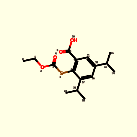 CCOC(=O)Sc1c(C(=O)O)cc(C(C)C)cc1C(C)C